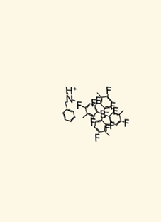 C[NH+](C)Cc1ccccc1.Cc1c(F)cc(F)c([B-](c2c(F)cc(F)c(C)c2F)(c2c(F)cc(F)c(C)c2F)c2c(F)cc(F)c(C)c2F)c1F